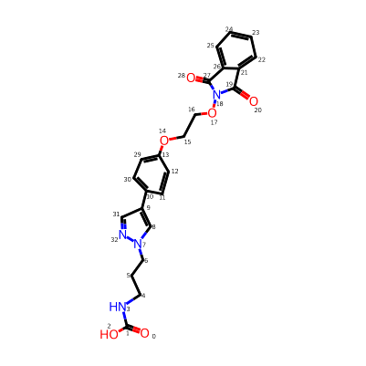 O=C(O)NCCCn1cc(-c2ccc(OCCON3C(=O)c4ccccc4C3=O)cc2)cn1